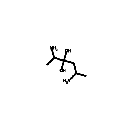 CC(N)C[Si](O)(O)C(C)N